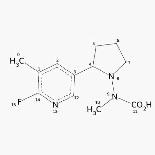 Cc1cc(C2CCCN2N(C)C(=O)O)cnc1F